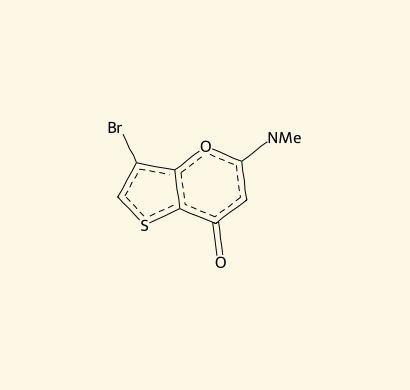 CNc1cc(=O)c2scc(Br)c2o1